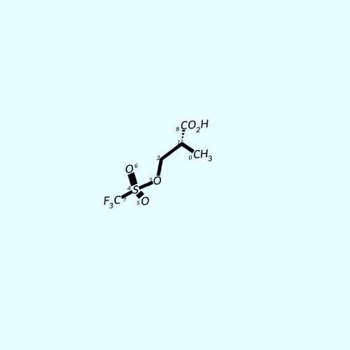 C[C@H](COS(=O)(=O)C(F)(F)F)C(=O)O